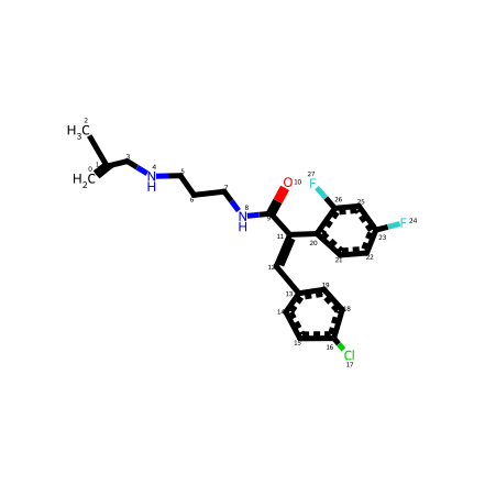 C=C(C)CNCCCNC(=O)/C(=C/c1ccc(Cl)cc1)c1ccc(F)cc1F